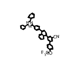 N#Cc1cc(-c2ccc(OC(F)(F)F)cc2)cc(-c2ccc(-c3ccc(-c4nc(-c5ccccc5)nc(-c5ccccc5)n4)cc3)c3ccccc23)c1